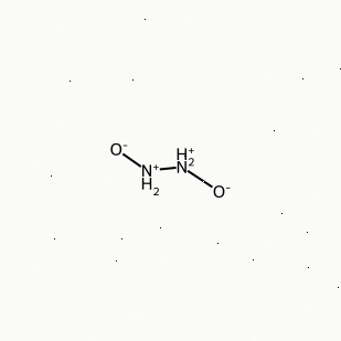 [O-][NH2+][NH2+][O-]